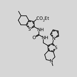 CCOC(=O)c1c(NC(=O)NCc2c(-n3cccc3)sc3c2CCN(C)C3)sc2c1CC(C)CC2